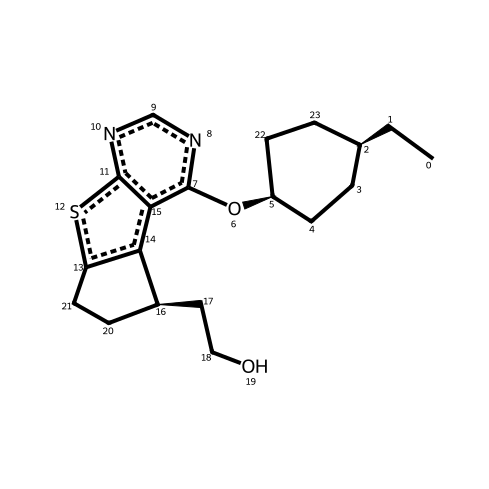 CC[C@H]1CC[C@@H](Oc2ncnc3sc4c(c23)[C@@H](CCO)CC4)CC1